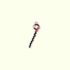 [CH2]CCCCCCCCCCCCCOC1CCOCC([O])CCOC1